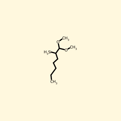 CCCCCC([SiH3])C(OC)OC